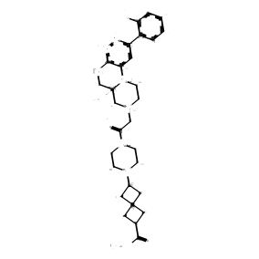 COC(=O)C1CC2(C1)CC(N1CCN(C(=O)CN3CCN4c5cc(-c6ccccc6O)nnc5NC[C@H]4C3)CC1)C2